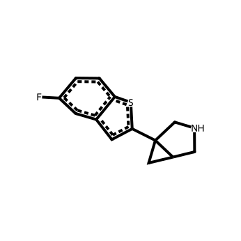 Fc1ccc2sc(C34CNCC3C4)cc2c1